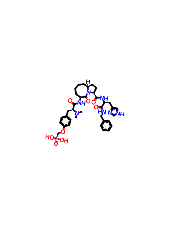 CN(C)[C@@H](Cc1ccc(OCP(=O)(O)O)cc1)C(=O)NC1CCCC[C@H]2CC[C@@H](C(=O)N[C@@H](Cc3c[nH]cn3)C(=O)NCc3ccccc3)N2C1=O